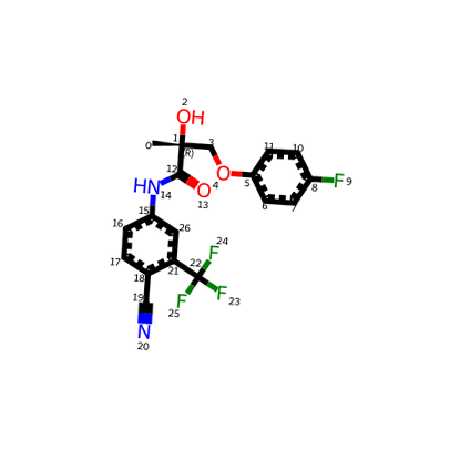 C[C@@](O)(COc1ccc(F)cc1)C(=O)Nc1ccc(C#N)c(C(F)(F)F)c1